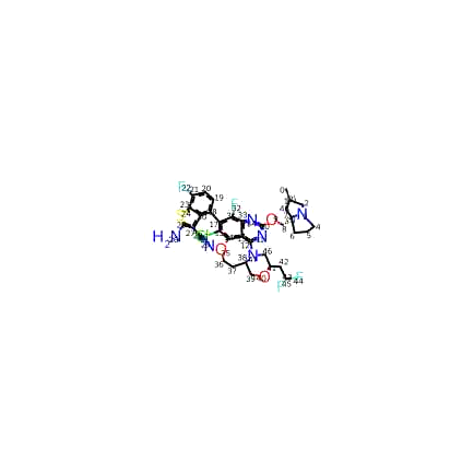 C[C@H]1CN2CCC[C@@]2(COc2nc3c4c(c(Cl)c(-c5ccc(F)c6sc(N)c(C#N)c56)c(F)c4n2)OCCC2COC(CC(F)F)CN32)C1